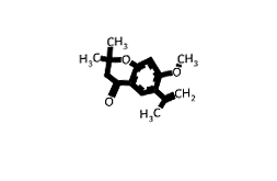 C=C(C)c1cc2c(cc1OC)OC(C)(C)CC2=O